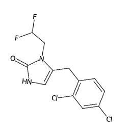 O=c1[nH]cc(Cc2ccc(Cl)cc2Cl)n1CC(F)F